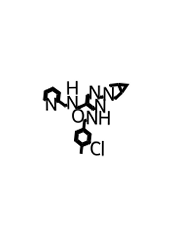 Cc1ccc(CNc2nc(N3CC4CC4C3)ncc2C(=O)NCc2ccccn2)cc1Cl